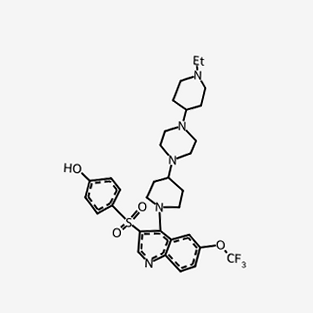 CCN1CCC(N2CCN(C3CCN(c4c(S(=O)(=O)c5ccc(O)cc5)cnc5ccc(OC(F)(F)F)cc45)CC3)CC2)CC1